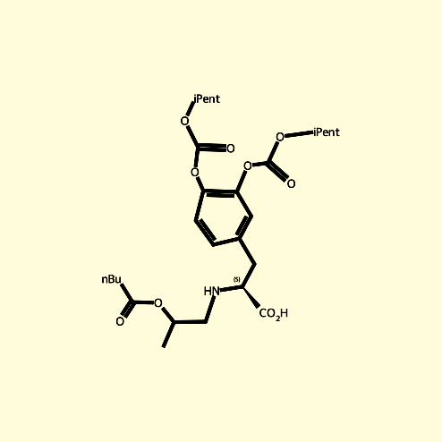 CCCCC(=O)OC(C)CN[C@@H](Cc1ccc(OC(=O)OC(C)CCC)c(OC(=O)OC(C)CCC)c1)C(=O)O